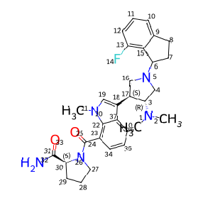 CN(C)[C@H]1CN(C2CCc3cccc(F)c32)C[C@@H]1c1cn(C)c2c(C(=O)N3CCC[C@H]3C(N)=O)cccc12